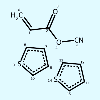 C=CC(=O)OC#N.c1ccsc1.c1ccsc1